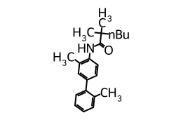 CCCCC(C)(C)C(=O)Nc1ccc(-c2ccccc2C)cc1C